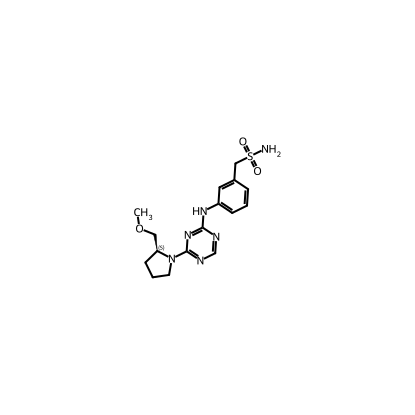 COC[C@@H]1CCCN1c1ncnc(Nc2cccc(CS(N)(=O)=O)c2)n1